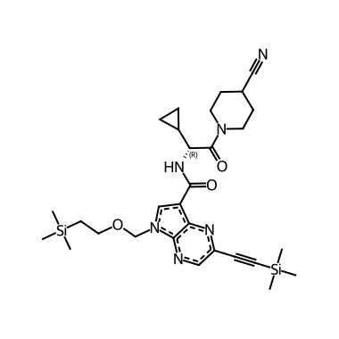 C[Si](C)(C)C#Cc1cnc2c(n1)c(C(=O)N[C@@H](C(=O)N1CCC(C#N)CC1)C1CC1)cn2COCC[Si](C)(C)C